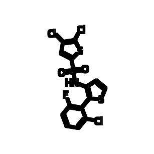 O=S(=O)(Nc1ccsc1-c1c(F)cccc1Cl)c1cc(Cl)c(Cl)s1